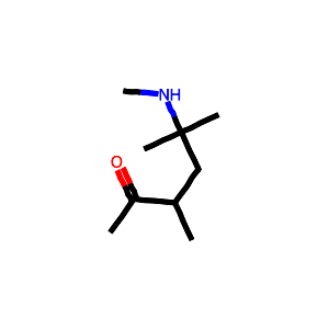 CNC(C)(C)CC(C)C(C)=O